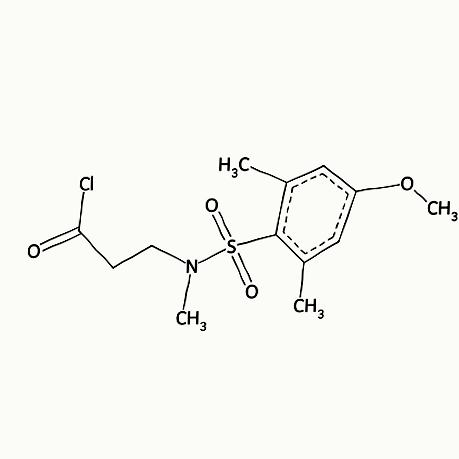 COc1cc(C)c(S(=O)(=O)N(C)CCC(=O)Cl)c(C)c1